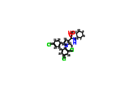 Cc1c(C(=O)N[C@H]2CCCC[C@H]2O)cc(-c2ccc(Cl)cc2)n1-c1ccc(Cl)cc1Cl